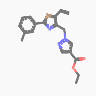 C=Cc1sc(-c2cccc(C)c2)nc1Cn1cc(C(=O)OCC)cn1